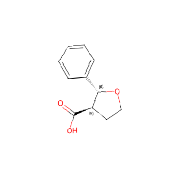 O=C(O)[C@@H]1CCO[C@H]1c1ccccc1